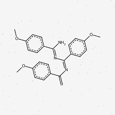 C=C(/N=C(\N=C(/N)c1ccc(OC)cc1)c1ccc(OC)cc1)c1ccc(OC)cc1